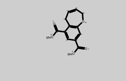 COC(=O)c1cc2c(c(C(=O)OC)c1)CC=CCO2